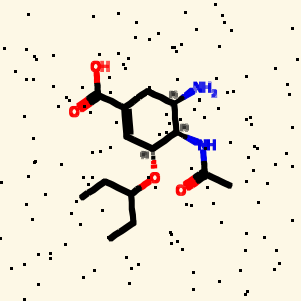 CCC(CC)O[C@@H]1C=C(C(=O)O)C[C@@H](N)[C@H]1NC(C)=O